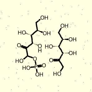 O=C(C(O)OP(=O)(O)O)[C@@H](O)[C@H](O)[C@H](O)CO.O=C(CO)[C@@H](O)[C@H](O)[C@H](O)CO